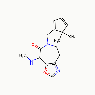 CNC1C(=O)N(CC2=CC=CC2(C)C)CCc2ncoc21